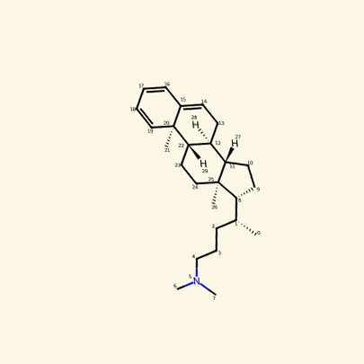 C[C@H](CCCN(C)C)[C@H]1CC[C@H]2[C@@H]3CC=C4C=CC=C[C@]4(C)[C@H]3CC[C@]12C